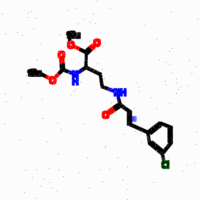 CC(C)(C)OC(=O)NC(CCNC(=O)/C=C/c1cccc(Cl)c1)C(=O)OC(C)(C)C